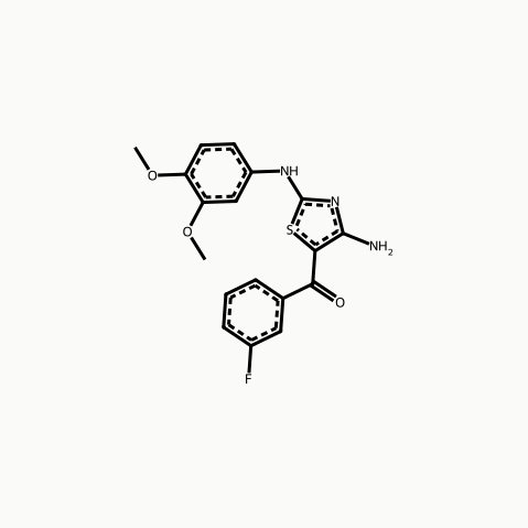 COc1ccc(Nc2nc(N)c(C(=O)c3cccc(F)c3)s2)cc1OC